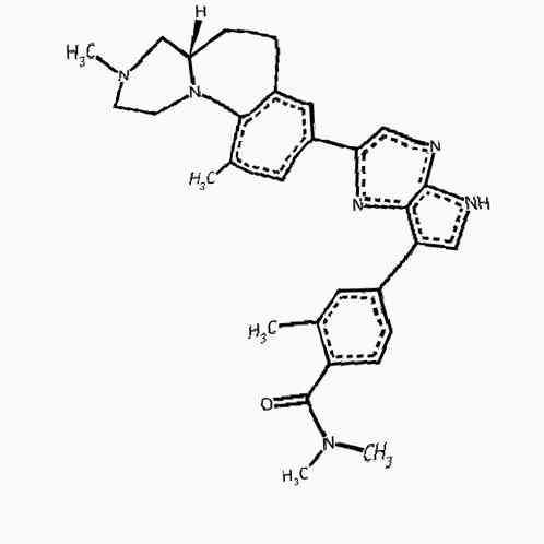 Cc1cc(-c2c[nH]c3ncc(-c4cc(C)c5c(c4)CC[C@H]4CN(C)CCN54)nc23)ccc1C(=O)N(C)C